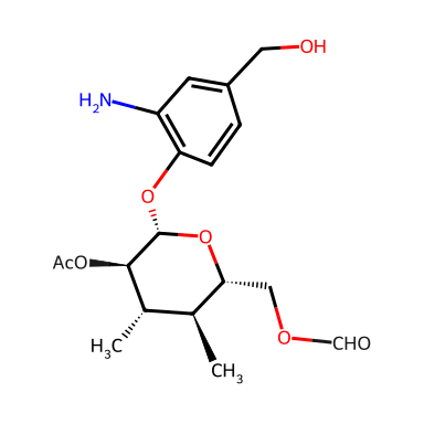 CC(=O)O[C@H]1[C@H](Oc2ccc(CO)cc2N)O[C@H](COC=O)[C@@H](C)[C@@H]1C